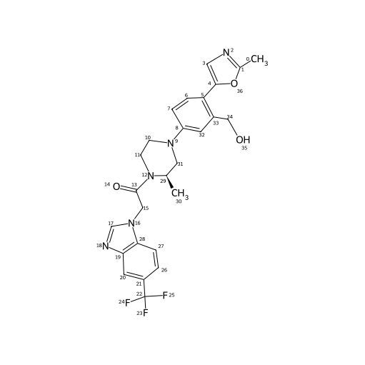 Cc1ncc(-c2ccc(N3CCN(C(=O)Cn4cnc5cc(C(F)(F)F)ccc54)[C@H](C)C3)cc2CO)o1